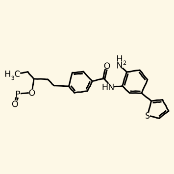 CCC(CCc1ccc(C(=O)Nc2cc(-c3cccs3)ccc2N)cc1)OP=O